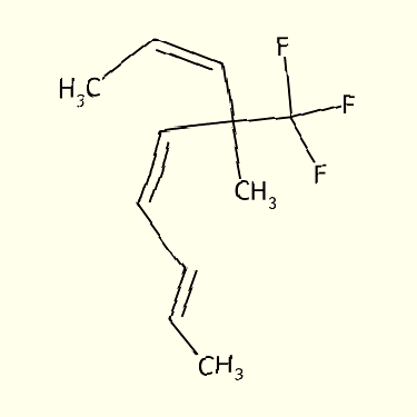 CC=C/C=C\C(C)(/C=C\C)C(F)(F)F